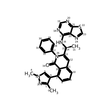 Cc1nn(C)cc1-c1cccc2cc([C@H](C)Nc3ncnc4scnc34)n(-c3ccccc3)c(=O)c12